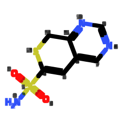 NS(=O)(=O)C1=Cc2cncnc2CS1